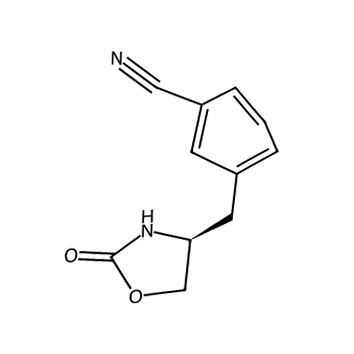 N#Cc1cccc(C[C@H]2COC(=O)N2)c1